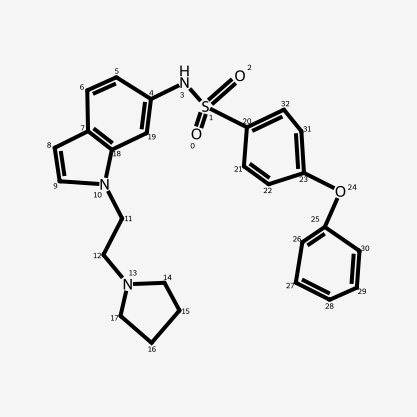 O=S(=O)(Nc1ccc2ccn(CCN3CCCC3)c2c1)c1ccc(Oc2ccccc2)cc1